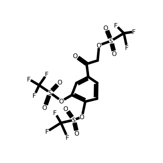 O=C(COS(=O)(=O)C(F)(F)F)c1ccc(OS(=O)(=O)C(F)(F)F)c(OS(=O)(=O)C(F)(F)F)c1